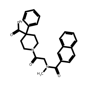 CCCC(=O)C1(c2ccccc2)CCN(C(=O)CN(C)C(=O)c2ccc3ccccc3c2)CC1